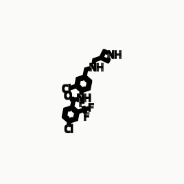 O=C(Nc1ccc(CNCC2CNC2)cc1Cl)c1ccc(Cl)cc1C(F)(F)F